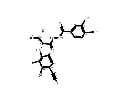 Cc1c(N[C@@H](C(=O)NNC(=O)c2ccc(F)c(F)c2)[C@@H](C)O)ccc(C#N)c1Cl